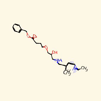 C/C=N\C=C/C(C)CNCC(O)COCCCC(=O)OCc1ccccc1